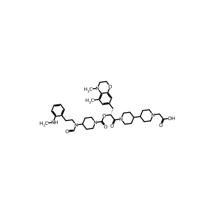 CNc1ccccc1CCN(C=O)C1CCN(C(=O)O[C@H](Cc2cc(C)c3c(c2)OCCN3C)C(=O)N2CCC(C3CCN(CC(=O)O)CC3)CC2)CC1